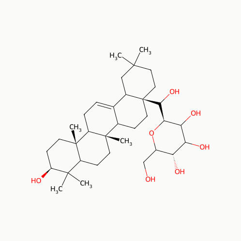 CC1(C)CC[C@]2(C(O)[C@@H]3OC(CO)[C@@H](O)C(O)C3O)CCC3C(=CCC4[C@@]3(C)CCC3C(C)(C)[C@@H](O)CC[C@@]34C)C2C1